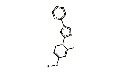 CC1=CC(OC(C)C)=NCN1c1cn(-c2ccccn2)cn1